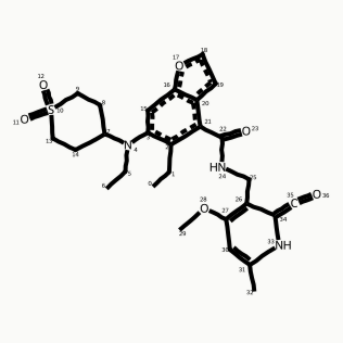 CCc1c(N(CC)C2CCS(=O)(=O)CC2)cc2occc2c1C(=O)NCC1=C(OC)C=C(C)NC1=C=O